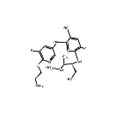 COCCOc1ncc(Nc2nc(N[C@@H](CC(C)C)[C@H](C)NC(=O)O)c(F)cc2C#N)cc1F